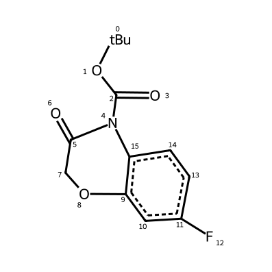 CC(C)(C)OC(=O)N1C(=O)COc2cc(F)ccc21